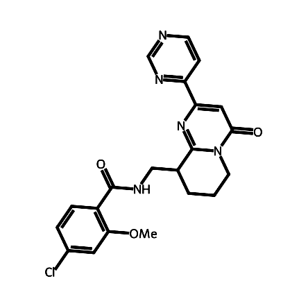 COc1cc(Cl)ccc1C(=O)NCC1CCCn2c1nc(-c1ccncn1)cc2=O